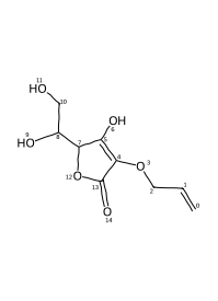 C=CCOC1=C(O)C(C(O)CO)OC1=O